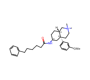 COc1cccc([C@@]23CC[N+](C)(C)C[C@H]2CC[C@H](NC(=O)CCCCCc2ccccc2)C3)c1